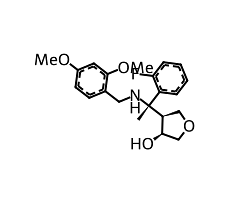 COc1ccc(CN[C@](C)(c2ccccc2F)[C@H]2COC[C@H]2O)c(OC)c1